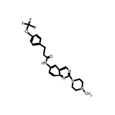 CN1CCN(c2ncc3cc(NC(=O)CCc4ccc(OC(F)(F)F)cc4)ccc3n2)CC1